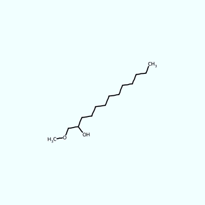 CCCCCCCCCCCC(O)COC